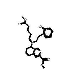 COC(=O)CCCCN(CCc1ccccc1O)C1CCCc2cc(C(=O)OC)ncc21